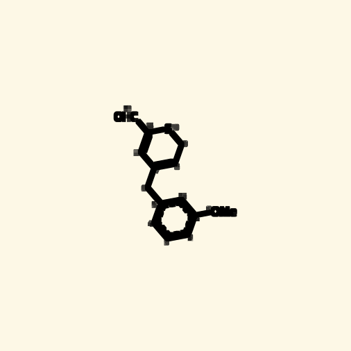 COc1cccc(CC2=CCSC(C=O)=C2)c1